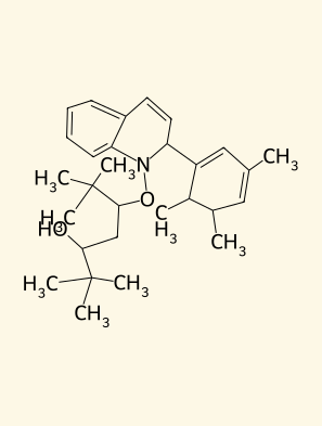 CC1=CC(C)C(C)C(C2C=Cc3ccccc3N2OC(CC(O)C(C)(C)C)C(C)(C)C)=C1